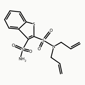 C=CCN(CC=C)S(=O)(=O)c1sc2ccccc2c1S(N)(=O)=O